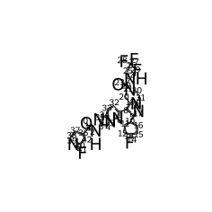 O=C(Nc1cn2nc(-c3c(-c4ccc(F)cc4)nn4c3CN(C(=O)NCC(F)(F)F)CC4)ccc2n1)c1ccnc(F)c1